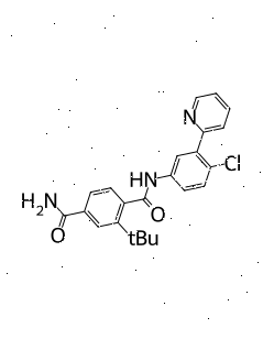 CC(C)(C)c1cc(C(N)=O)ccc1C(=O)Nc1ccc(Cl)c(-c2ccccn2)c1